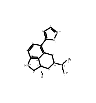 CCCN(CCC)[C@@H]1Cc2c(-c3ccno3)ccc3c2[C@H](CN3)C1